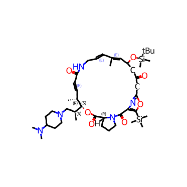 CC1=C\C(O[Si](C)(C)C(C)(C)C)CC(=O)Cc2nc(c([Si](C)(C)C)o2)C(=O)N2CCC[C@@H]2C(=O)O[C@H]([C@@H](C)CN2CCC(N(C)C)CC2)[C@H](C)/C=C/C(=O)NC\C=C\1